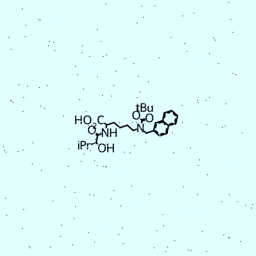 CC(C)[C@H](O)C(=O)NC(CCCCN(Cc1ccc2ccccc2c1)C(=O)OC(C)(C)C)C(=O)O